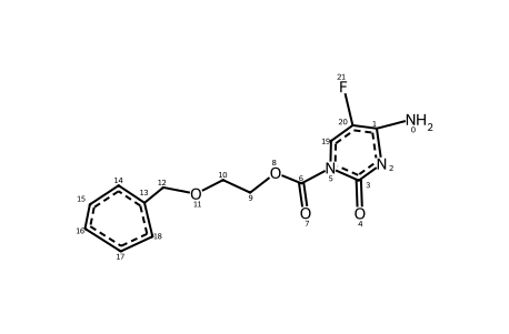 Nc1nc(=O)n(C(=O)OCCOCc2ccccc2)cc1F